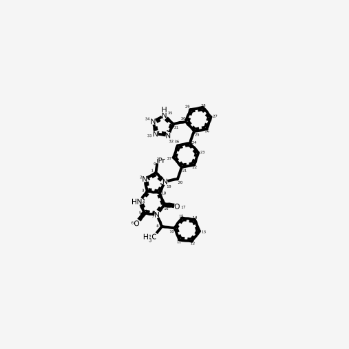 CC(C)c1nc2[nH]c(=O)n(C(C)c3ccccc3)c(=O)c2n1Cc1ccc(-c2ccccc2-c2nnn[nH]2)cc1